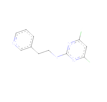 Clc1cc(Cl)nc(NCCc2cccnc2)n1